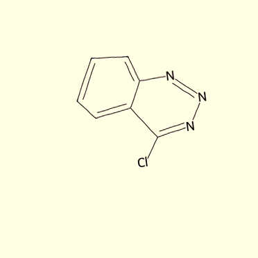 Clc1nnnc2ccccc12